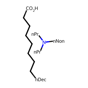 CCCCCCCCCCCCCCCCCC(=O)O.CCCCCCCCCN(CCC)CCC